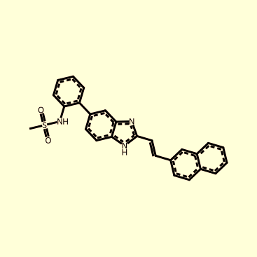 CS(=O)(=O)Nc1ccccc1-c1ccc2[nH]c(C=Cc3ccc4ccccc4c3)nc2c1